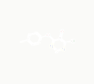 Cc1ccc(Oc2nsnc(Cl)c2=O)cc1